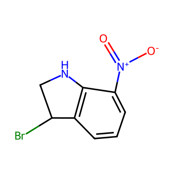 O=[N+]([O-])c1cccc2c1NCC2Br